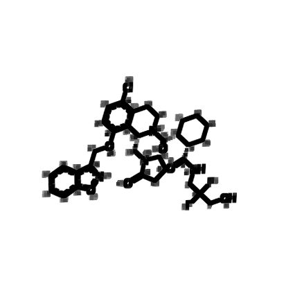 O=C(NCC(F)(F)CO)[C@H]1CCCC[C@H]1C(=O)N1CCc2c(Cl)ccc(OCc3noc4ccccc34)c2[C@H]1CN1CCCC1=O